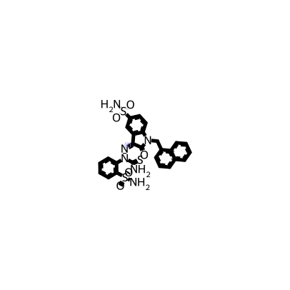 NC(=S)N(/N=C1\C(=O)N(Cc2cccc3ccccc23)c2ccc(S(N)(=O)=O)cc21)c1ccccc1S(N)(=O)=O